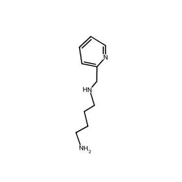 NCCCCNCc1ccccn1